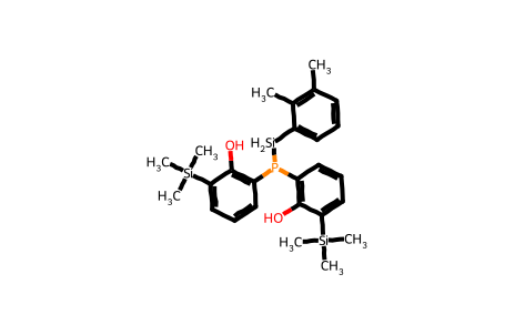 Cc1cccc([SiH2]P(c2cccc([Si](C)(C)C)c2O)c2cccc([Si](C)(C)C)c2O)c1C